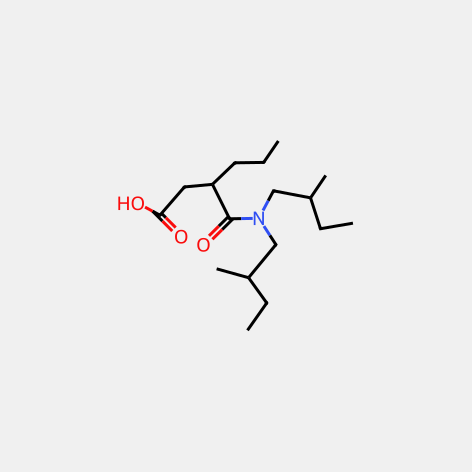 CCCC(CC(=O)O)C(=O)N(CC(C)CC)CC(C)CC